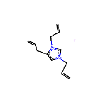 C=CCc1c[n+](CC=C)cn1CC=C.[I-]